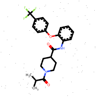 CC(C)C(=O)N1CCC(C(=O)Nc2ccccc2Oc2ccc(C(F)(F)F)cc2)CC1